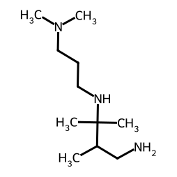 CC(CN)C(C)(C)NCCCN(C)C